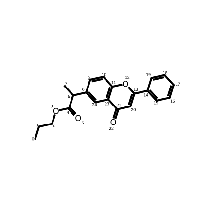 CCCOC(=O)C(C)c1ccc2oc(-c3ccccc3)cc(=O)c2c1